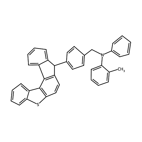 Cc1ccccc1N(Cc1ccc(C2c3ccccc3-c3c2ccc2sc4ccccc4c32)cc1)c1ccccc1